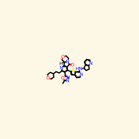 Cc1nnc(-c2c(CCC3CCOCC3)nc3c(c2-c2cc4ccnc(N[C@@H]5CCc6ncccc65)c4s2)C(=O)N2CCOC[C@@H]32)o1